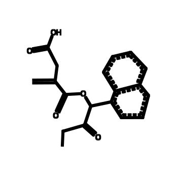 C=C(CC(=O)O)C(=O)OC(C(=O)CC)c1cccc2ccccc12